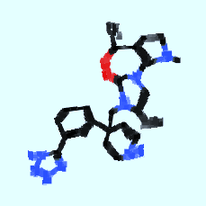 CCCCc1cn(-c2c(C(=O)C(F)(F)F)ccn2C)c(=O)n1CC1(c2cccc(-c3nnn[nH]3)c2)C=CNC=C1